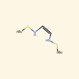 CCCCSN/C=C\NSCCCC